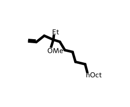 C=CCC(CC)(CCCCCCCCCCCCC)OC